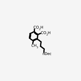 CCCCCCCCCCCCCc1c(C)ccc(C(=O)O)c1C(=O)O